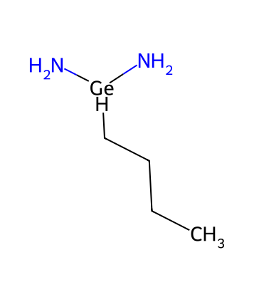 CCC[CH2][GeH]([NH2])[NH2]